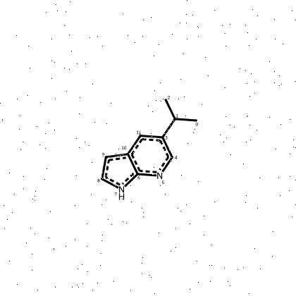 CC(C)c1cnc2[nH]ccc2c1